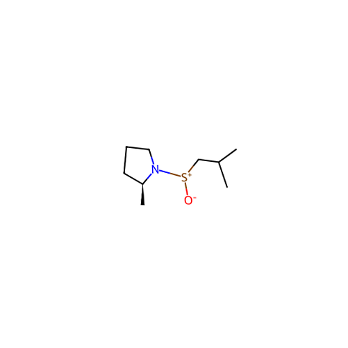 CC(C)C[S+]([O-])N1CCC[C@@H]1C